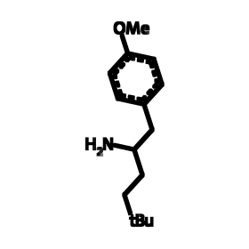 COc1ccc(CC(N)CCC(C)(C)C)cc1